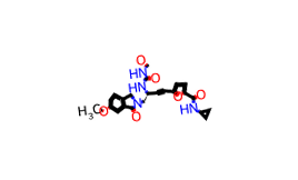 COc1ccc2c(c1)C(=O)N(C[C@@H](C#Cc1ccc(C(=O)NC3CC3)o1)NC(=O)NC=O)C2